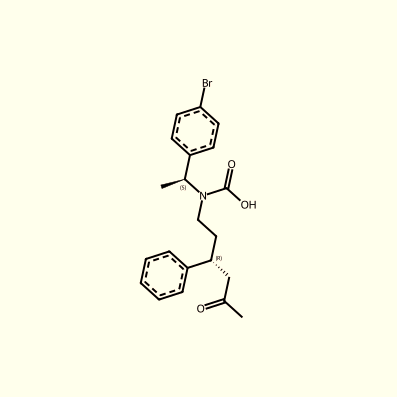 CC(=O)C[C@@H](CCN(C(=O)O)[C@@H](C)c1ccc(Br)cc1)c1ccccc1